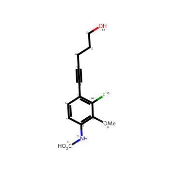 COc1c(NC(=O)O)ccc(C#CCCCO)c1F